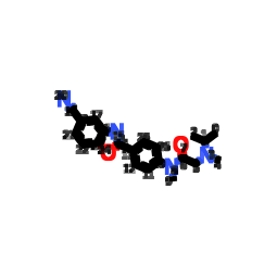 CC(C)N(C)CC(=O)N(C)c1ccc(-c2nc3cc(C#N)ccc3o2)cc1